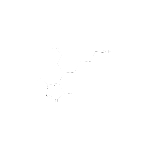 C=CCOCC(CC=C)c1c([N+](=O)[O-])cnn1C